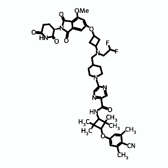 COc1cc(OC2CC(N(CC(F)F)CC3CCN(c4cnc(C(=O)NC5C(C)(C)C(Oc6cc(C)c(C#N)c(C)c6)C5(C)C)cn4)CC3)C2)cc2c1C(=O)N([C@@H]1CCC(=O)NC1=O)C2=O